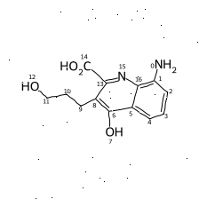 Nc1cccc2c(O)c(CCCO)c(C(=O)O)nc12